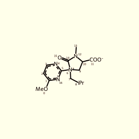 COc1ccnc([N+]2(CC(C)C)CC(C(=O)[O-])N(C)C2=O)n1